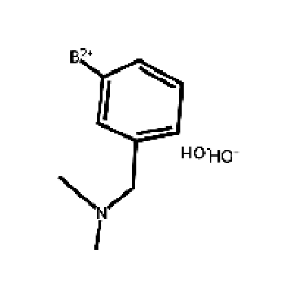 [B+2]c1cccc(CN(C)C)c1.[OH-].[OH-]